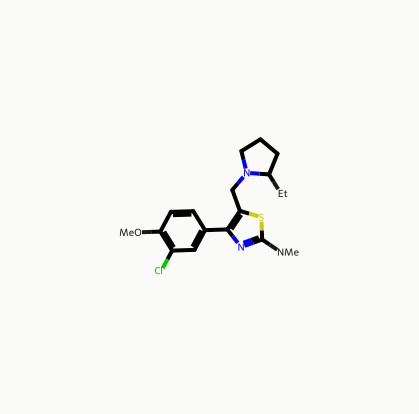 CCC1CCCN1Cc1sc(NC)nc1-c1ccc(OC)c(Cl)c1